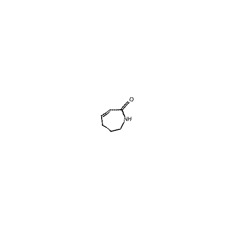 O=C1C=CCCCN1